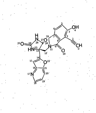 C#Cc1c(O)ccc2c1C(=O)N(C[C@@]1(c3cc4ncccc4o3)NC(=O)NC1=O)C2